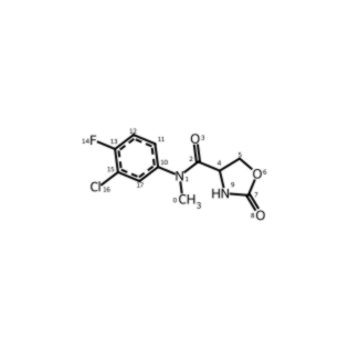 CN(C(=O)C1COC(=O)N1)c1ccc(F)c(Cl)c1